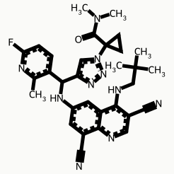 Cc1nc(F)ccc1C(Nc1cc(C#N)c2ncc(C#N)c(NCC(C)(C)C)c2c1)c1cn(C2(C(=O)N(C)C)CC2)nn1